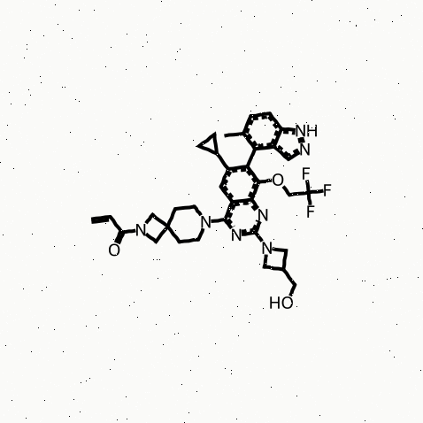 C=CC(=O)N1CC2(CCN(c3nc(N4CC(CO)C4)nc4c(OCC(F)(F)F)c(-c5c(C)ccc6[nH]ncc56)c(C5CC5)cc34)CC2)C1